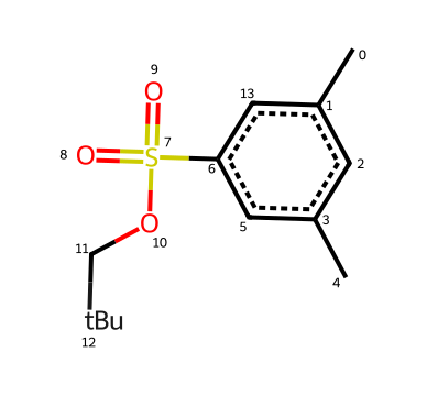 Cc1cc(C)cc(S(=O)(=O)OCC(C)(C)C)c1